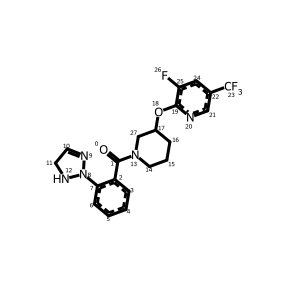 O=C(c1ccccc1N1N=CCN1)N1CCCC(Oc2ncc(C(F)(F)F)cc2F)C1